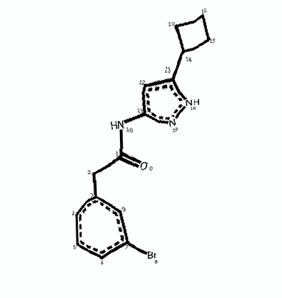 O=C(Cc1cccc(Br)c1)Nc1cc(C2CCC2)[nH]n1